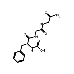 NC(=O)CNC(=O)CNC(=O)[C@H](Cc1ccccc1)NC(=O)O